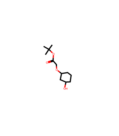 CC(C)(C)OC(=O)COC1CCCC(O)C1